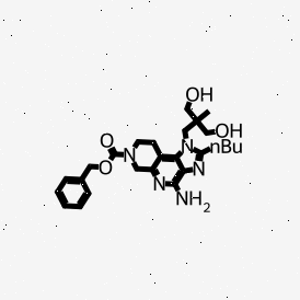 CCCCc1nc2c(N)nc3c(c2n1CC(C)(CO)CO)CCN(C(=O)OCc1ccccc1)C3